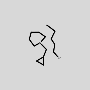 C1CCN(CC2CC2)CC1.CCCCCBr